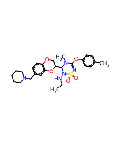 CCNN1C(C2COc3ccc(CN4CCCCC4)cc3O2)N(C)C(Oc2ccc(C)cc2)=NS1(=O)=O